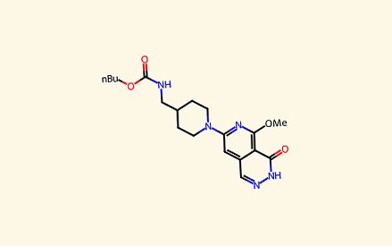 CCCCOC(=O)NCC1CCN(c2cc3cn[nH]c(=O)c3c(OC)n2)CC1